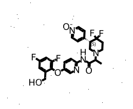 CC(C(=O)Nc1ccc(Oc2c(F)cc(F)cc2CO)cn1)N1CCC(F)(F)[C@@H](c2cc[n+]([O-])cc2)C1